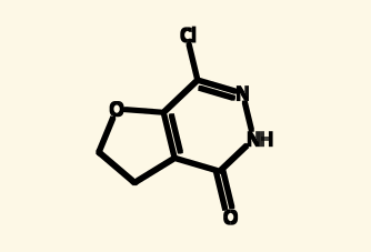 O=c1[nH]nc(Cl)c2c1CCO2